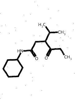 CCC(=O)C(CC(=O)NC1CCCCC1)C(C)C